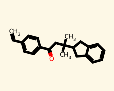 C=Cc1ccc(C(=O)CC(C)(C)C2Cc3ccccc3C2)cc1